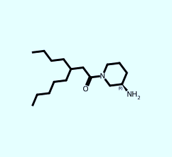 CCCCCC(CCCC)CC(=O)N1CCC[C@@H](N)C1